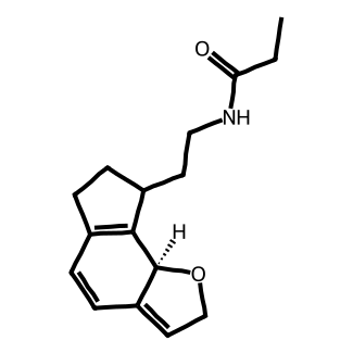 CCC(=O)NCCC1CCC2=C1[C@H]1OCC=C1C=C2